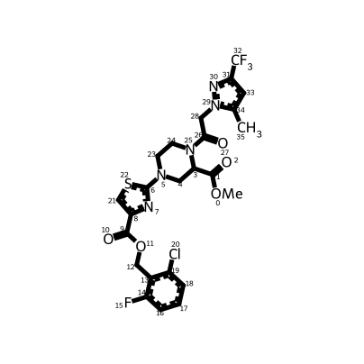 COC(=O)C1CN(c2nc(C(=O)OCc3c(F)cccc3Cl)cs2)CCN1C(=O)Cn1nc(C(F)(F)F)cc1C